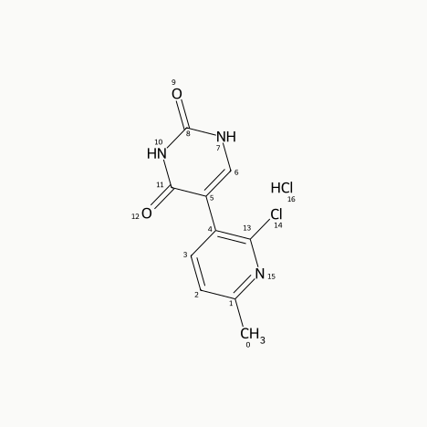 Cc1ccc(-c2c[nH]c(=O)[nH]c2=O)c(Cl)n1.Cl